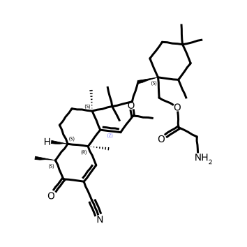 CC(=O)/C=C1/[C@@]2(C)C=C(C#N)C(=O)[C@@H](C)[C@@H]2CC[C@@]1(C)C(C)(C)CC[C@@]1(COC(=O)CN)CCC(C)(C)CC1C